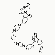 CC1(Oc2ccc3[nH]nc(-c4cc(N5CCN(C[C@H]6CC[C@H](CN7CCN(c8ccc9c(c8)C(=O)N(C8CCC(=O)NC8=O)C9=O)CC7)CC6)CC5)ncn4)c3c2)CC1